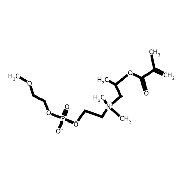 C=C(C)C(=O)OC(C)C[N+](C)(C)CCOP(=O)([O-])OCCOC